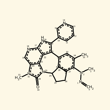 C=NN(C)c1ccc(-c2c(-c3cccnc3)[nH]c3ncc4c(c23)n(C2CCCC2)c(=O)n4C)cc1C